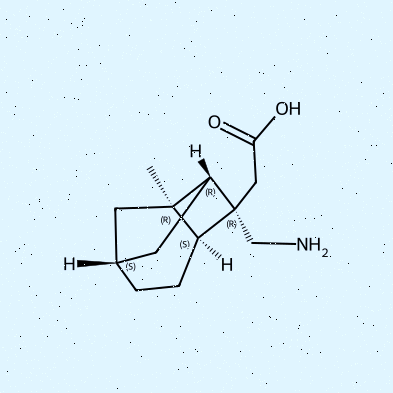 C[C@@]12C[C@H]3CC[C@@H]1[C@](CN)(CC(=O)O)[C@@H]2C3